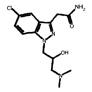 CN(C)CC(O)Cn1nc(CC(N)=O)c2cc(Cl)ccc21